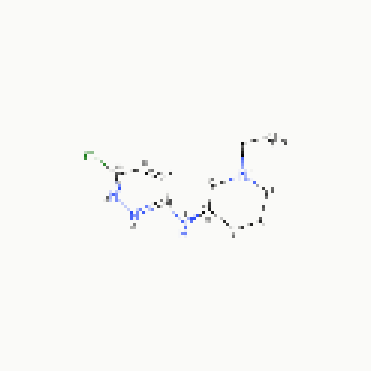 FC(F)(F)CN1CCC[C@@H](Nc2ccc(Cl)nn2)C1